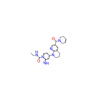 CCNC(=O)n1ccc(N2CCCc3cc(C(=O)N4CC=CCC4)cnc32)cc1=N